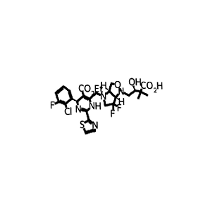 CCOC(=O)C1=C(CN2CC(F)(F)[C@H]3[C@@H]2CON3C[C@@H](O)C(C)(C)C(=O)O)NC(c2nccs2)=N[C@H]1c1cccc(F)c1Cl